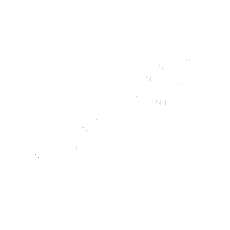 CCOc1nnc(NS(=O)(=O)c2ccc(/N=C/c3cc(Br)cc([N+](=O)[O-])c3O)cc2)s1